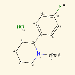 CCCCCN1CCCCC1c1ccc(F)cc1.Cl